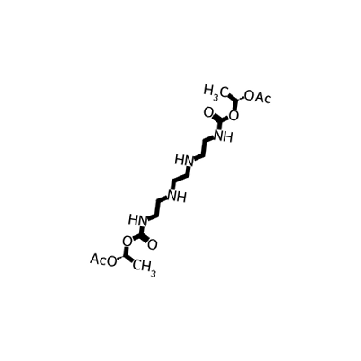 CC(=O)O[C@@H](C)OC(=O)NCCNCCNCCNC(=O)O[C@H](C)OC(C)=O